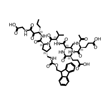 CCC[C@H](NC(=O)[C@@H]1C[C@@H](CNC(=O)OCC2c3ccccc3-c3ccccc32)CN1C(=O)[C@@H](NC(=O)[C@@H](NC(=O)[C@H](CCC(=O)O)NC(=O)[C@H](CCC(=O)O)NC(C)=O)C(C)C)C(C)C)C(=O)C(=O)NCC(=O)O